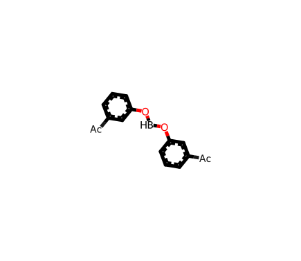 CC(=O)c1cccc(OBOc2cccc(C(C)=O)c2)c1